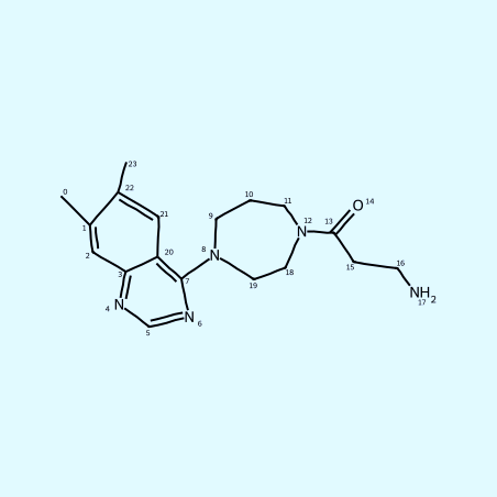 Cc1cc2ncnc(N3CCCN(C(=O)CCN)CC3)c2cc1C